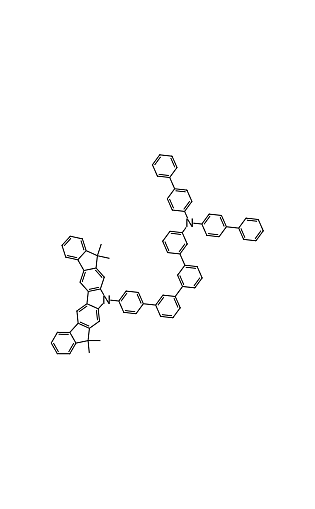 CC1(C)c2ccccc2-c2cc3c4cc5c(cc4n(-c4ccc(-c6cccc(-c7cccc(-c8cccc(N(c9ccc(-c%10ccccc%10)cc9)c9ccc(-c%10ccccc%10)cc9)c8)c7)c6)cc4)c3cc21)C(C)(C)c1ccccc1-5